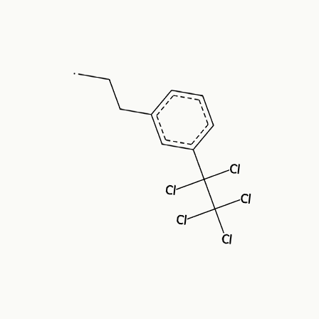 [CH2]CCc1cccc(C(Cl)(Cl)C(Cl)(Cl)Cl)c1